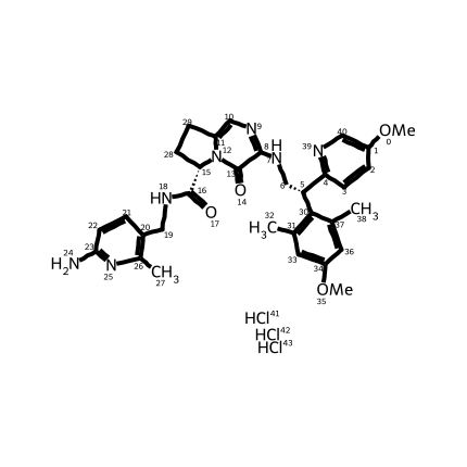 COc1ccc([C@@H](CNc2ncc3n(c2=O)[C@H](C(=O)NCc2ccc(N)nc2C)CC3)c2c(C)cc(OC)cc2C)nc1.Cl.Cl.Cl